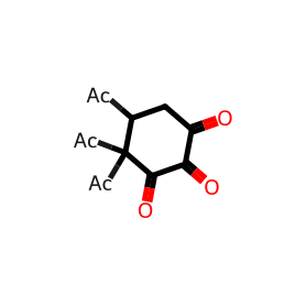 CC(=O)C1CC(=O)C(=O)C(=O)C1(C(C)=O)C(C)=O